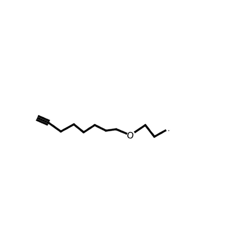 C#CCCCCCCOCC[CH2]